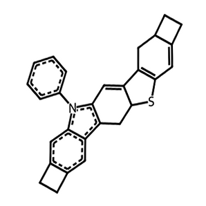 C1=C2CCC2CC2=C1SC1Cc3c(n(-c4ccccc4)c4cc5c(cc34)CC5)C=C21